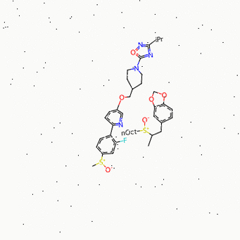 CC(C)c1noc(N2CCC(COc3ccc(-c4ccc([S+](C)[O-])cc4F)nc3)CC2)n1.CCCCCCCC[S+]([O-])C(C)Cc1ccc2c(c1)OCO2